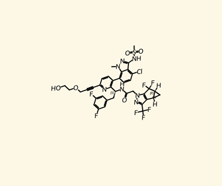 Cn1nc(NS(C)(=O)=O)c2c(Cl)ccc(-c3ccc(C#CCOCCO)nc3[C@H](Cc3cc(F)cc(F)c3)NC(=O)Cn3nc(C(F)(F)F)c4c3C(F)(F)[C@@H]3C[C@H]43)c21